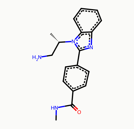 CNC(=O)c1ccc(-c2nc3ccccc3n2[C@@H](C)CN)cc1